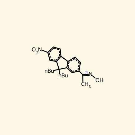 CCCCC1(CCCC)c2cc(/C(C)=N/O)ccc2-c2ccc([N+](=O)[O-])cc21